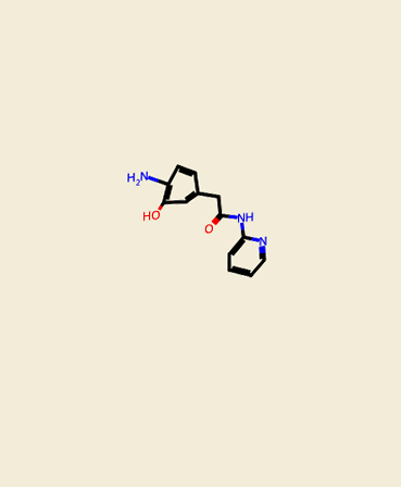 Nc1ccc(CC(=O)Nc2ccccn2)cc1O